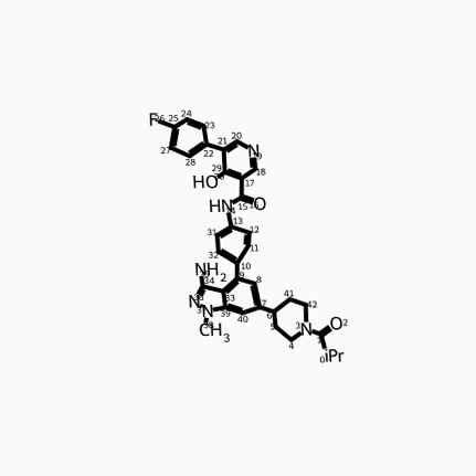 CC(C)C(=O)N1CCC(c2cc(-c3ccc(NC(=O)c4cncc(-c5ccc(F)cc5)c4O)cc3)c3c(N)nn(C)c3c2)CC1